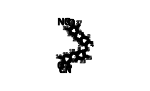 Cc1cc(C)c(Cc2cc(Cc3cc(C)c(OC#N)c(C)c3)c(C)cc2C)cc1Cc1cc(C)c(OC#N)c(C)c1